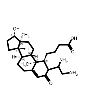 C[C@]12CC[C@H]3[C@@H](CCC4=CC(=O)C(C(N)CN)[C@H](CCCC(=O)O)[C@@]43C)[C@@H]1CC[C@@H]2O